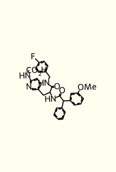 COc1cccc(C(C(=O)NC(Cc2ccc(NC(=O)O)nc2)C(=O)NCc2ccc(F)cc2)c2ccccc2)c1